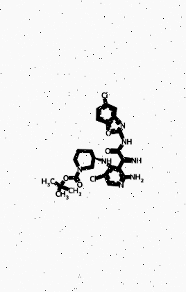 CC(C)(C)OC(=O)N1CCC[C@@H](Nc2c(Cl)cnc(N)c2C(=N)C(=O)Nc2nc3cc(Cl)ccc3o2)C1